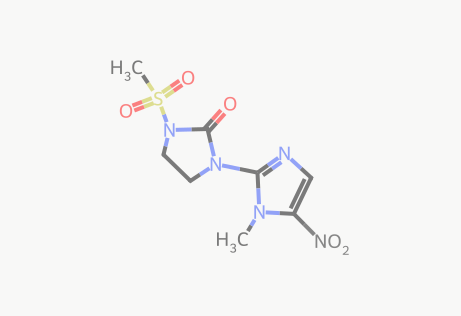 Cn1c([N+](=O)[O-])cnc1N1CCN(S(C)(=O)=O)C1=O